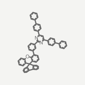 c1ccc(-c2ccc(-c3cc(-c4ccc(-c5ccccc5)cc4)nc(-c4cccc(-c5cccc6c5Oc5ccccc5C65c6ccccc6-c6ccccc65)c4)n3)cc2)cc1